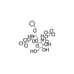 O=C(N[C@H](COCc1ccccc1)CO[C@@H]1O[C@H](CO)[C@@H](O)[C@H](O)[C@H]1NC(=O)OCC(Cl)(Cl)Cl)OCC(Cl)(Cl)Cl